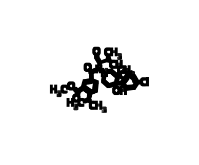 COC(=O)c1cc(C(=O)N([C@@H](C=O)C(C)C)N2CC[C@](O)(c3ccc(Cl)cc3)C(C)(C)C2)ccc1C(C)C